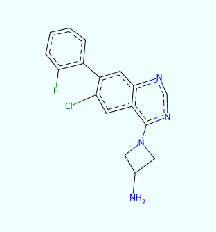 NC1CN(c2ncnc3cc(-c4ccccc4F)c(Cl)cc23)C1